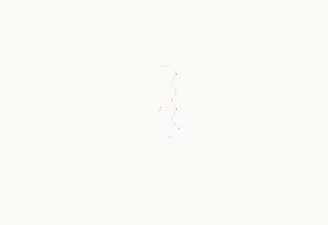 CCCCCCCCCCCCCCCCNC(C)(C)C.CCOS(=O)(=O)O